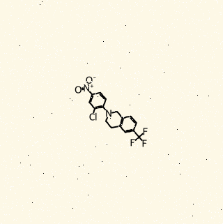 O=[N+]([O-])c1ccc(N2CCc3cc(C(F)(F)F)ccc3C2)c(Cl)c1